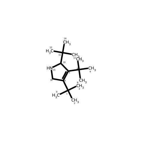 CC(C)(C)C1=C(C(C)(C)C)C(C(C)(C)C)NC1